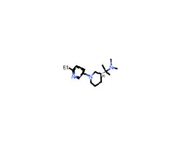 CCc1ccc(N2CCC[C@@H](C(C)(C)N(C)C)C2)cn1